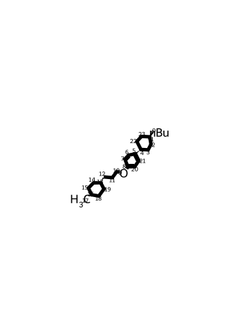 CCCC[C@H]1CC[C@H](c2ccc(OCCC[C@H]3CC[C@H](C)CC3)cc2)CC1